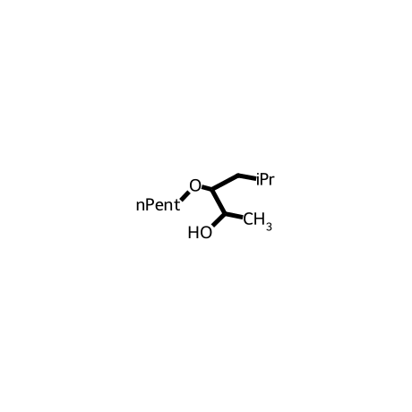 CCCCCOC(CC(C)C)C(C)O